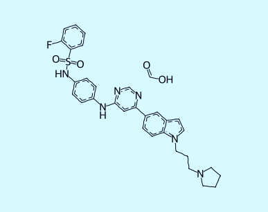 O=CO.O=S(=O)(Nc1ccc(Nc2cc(-c3ccc4c(ccn4CCCN4CCCC4)c3)ncn2)cc1)c1ccccc1F